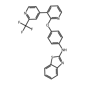 FC(F)(F)c1cc(-c2cccnc2Oc2ccc(Nc3nc4ccccc4s3)cc2)ccn1